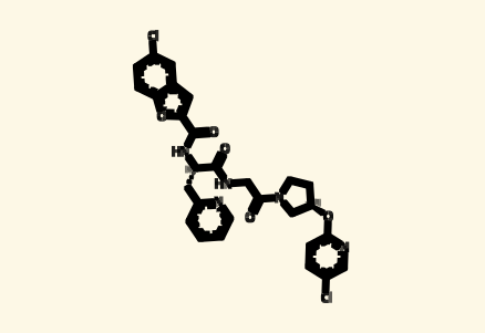 O=C(N[C@@H](Cc1ccccn1)C(=O)NCC(=O)N1CC[C@@H](Oc2ccc(Cl)cn2)C1)c1cc2cc(Cl)ccc2o1